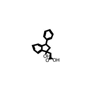 O=C(O)CC1(O)CC(c2ccccc2)c2ccccc21